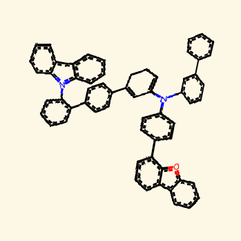 C1=C(c2ccc(-c3ccccc3-n3c4ccccc4c4ccccc43)cc2)CCC=C1N(c1ccc(-c2cccc3c2oc2ccccc23)cc1)c1cccc(-c2ccccc2)c1